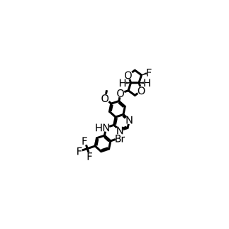 COc1cc2c(Nc3cc(C(F)(F)F)ccc3Br)ncnc2cc1OC1CO[C@H]2[C@H](F)CO[C@@H]12